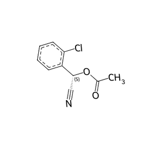 CC(=O)O[C@H](C#N)c1ccccc1Cl